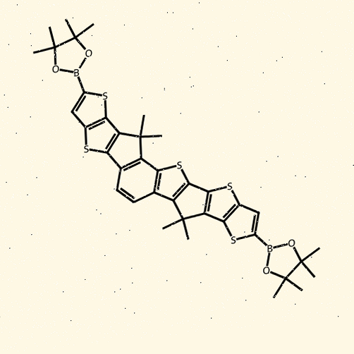 CC1(C)c2c(sc3c4c(ccc23)-c2sc3cc(B5OC(C)(C)C(C)(C)O5)sc3c2C4(C)C)-c2sc3cc(B4OC(C)(C)C(C)(C)O4)sc3c21